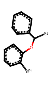 CCCc1ccccc1OC(CC)c1ccccc1